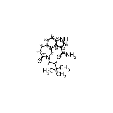 CC(C)(C)CCN1Cc2c(ccc3[nH]nc(C(N)=O)c23)C[CH]C1=O